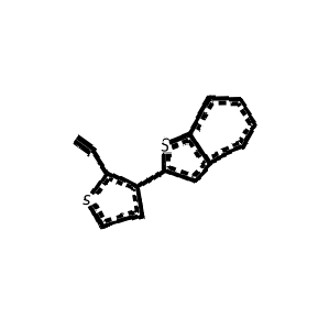 C=Cc1sccc1-c1cc2ccccc2s1